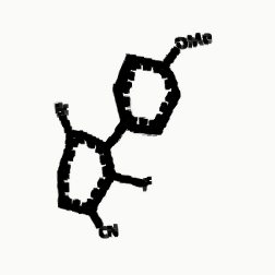 COc1ccc(-c2c(Br)ccc(C#N)c2F)cc1